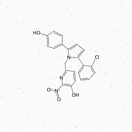 O=[N+]([O-])c1nc(Cn2c(-c3ccc(O)cc3)ccc2-c2ccccc2Cl)ccc1O